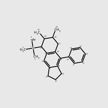 CCCS(C)(C)C1c2cc3c(c(-c4ccccc4)c2CC(C)C1C)CCC3